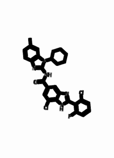 Cc1ccc2nc(NC(=O)c3cc(Cl)c4[nH]c(-c5c(F)cccc5Cl)nc4c3)n(C3CCCCC3)c2c1